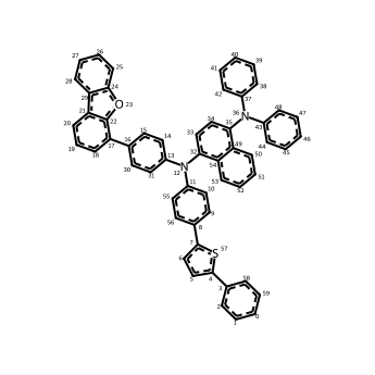 c1ccc(-c2ccc(-c3ccc(N(c4ccc(-c5cccc6c5oc5ccccc56)cc4)c4ccc(N(c5ccccc5)c5ccccc5)c5ccccc45)cc3)s2)cc1